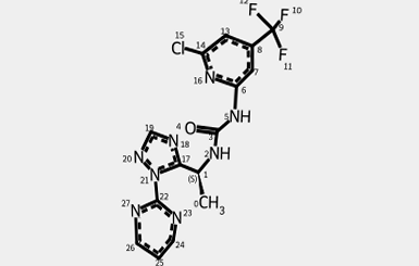 C[C@H](NC(=O)Nc1cc(C(F)(F)F)cc(Cl)n1)c1ncnn1-c1ncccn1